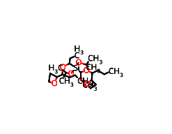 CCCC(OC(CC)[Si](OC(C)C)(OC(C)C)C(CC)OC(CCC)C1CCO1)C1CCO1